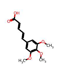 COc1cc(C=CC=CC(=O)O)cc(OC)c1OC